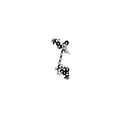 COc1cc2c(cc1-c1c(C)noc1C)ncc1c2n([C@H](C)c2ccccn2)c(=O)n1C(CCOCCOCCOCCC(C(N)=O)n1c(=O)n([C@H](C)c2ccccn2)c2c3cc(OC)c(-c4c(C)noc4C)cc3ncc21)C(N)=O